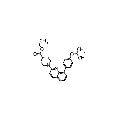 CCOC(=O)C1CCN(c2ccc3cccc(-c4ccc(OC(C)C)cc4)c3n2)CC1